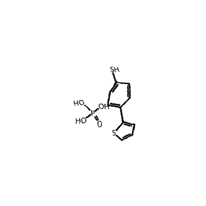 O=P(O)(O)O.Sc1ccc(-c2cccs2)cc1